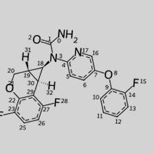 NC(=O)N(c1ccc(Oc2ccccc2F)cn1)[C@@H]1[C@H]2COc3c(F)ccc(F)c3[C@@H]21